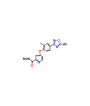 CNC(=O)c1cc(Oc2ccc(-c3noc(C(C)C)n3)cc2C)ccn1